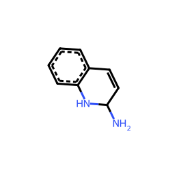 NC1C=Cc2ccccc2N1